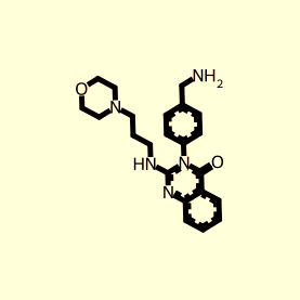 NCc1ccc(-n2c(NCCCN3CCOCC3)nc3ccccc3c2=O)cc1